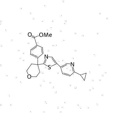 COC(=O)c1ccc(C2(c3ncc(-c4ccc(C5CC5)nc4)s3)CCOCC2)cc1